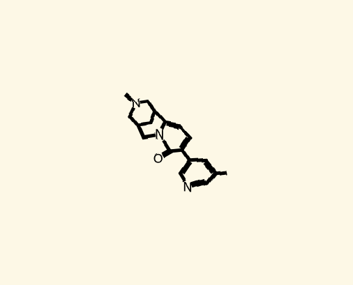 Cc1cncc(-c2ccc3n(c2=O)CC2CC3CN(C)C2)c1